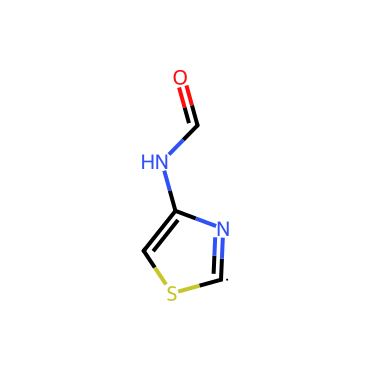 O=CNc1cs[c]n1